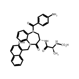 COc1ccc2ccccc2c1CN1C(=O)[C@@H](NC(=O)[C@H](C)NC(=O)O)CN(C(=O)c2ccc(N)cc2)c2ccccc21